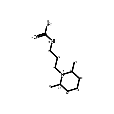 CC(C)C(=O)NCCCN1C(C)CCCC1C